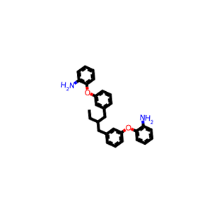 CCC(Cc1cccc(Oc2ccccc2N)c1)Cc1cccc(Oc2ccccc2N)c1